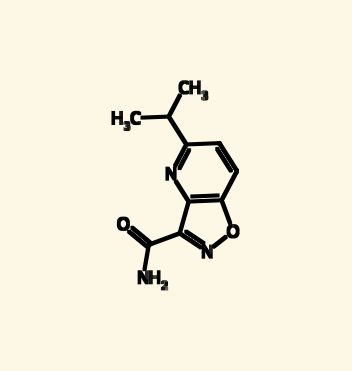 CC(C)c1ccc2onc(C(N)=O)c2n1